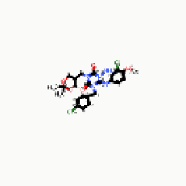 CCOc1ccc(/N=c2\n(N)c(=O)n(CC3COC(C)(C)OC3)c(=O)n2Cc2ccc(Cl)cc2)cc1Cl